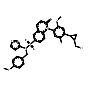 COc1ccc(CN(c2ccon2)S(=O)(=O)c2ccc3c(ccc(=O)n3-c3cc(F)c(C4CC4CO)cc3OC)c2)cc1